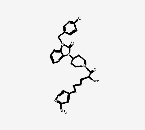 CCCC(CCCCc1ccnc(N)c1)C(=O)N1CCC(n2c(=O)n(Cc3ccc(Cl)cc3)c3ccccc32)CC1